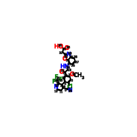 COc1cc(Cl)c(-c2c(C#N)ccnc2C(F)(F)F)cc1C(=O)CNc1cccc2nc(CC(=O)O)oc12